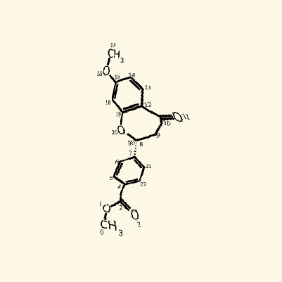 COC(=O)c1ccc([C@H]2CC(=O)c3ccc(OC)cc3O2)cc1